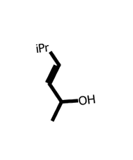 CC(C)C=CC(C)O